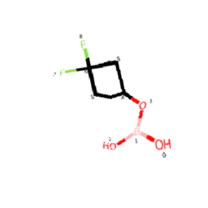 OB(O)OC1CC(F)(F)C1